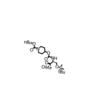 CCCCOC(=O)N1CCC(OC(=O)N[C@@H](CO[Si](C)(C)C(C)(C)C)C(=O)OC)CC1